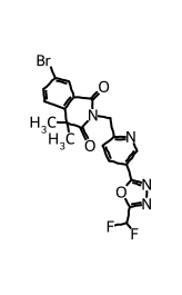 CC1(C)C(=O)N(Cc2ccc(-c3nnc(C(F)F)o3)cn2)C(=O)c2cc(Br)ccc21